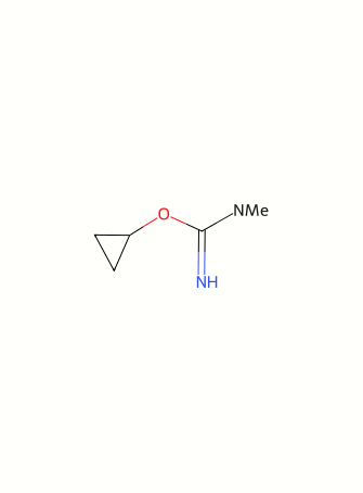 CNC(=N)OC1CC1